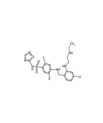 CCNCCNc1cc(Cl)ccc1CNc1cc(F)c(S(=O)(=O)Nc2ncns2)cc1F